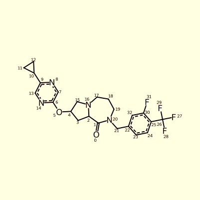 O=C1C2CC(Oc3cnc(C4CC4)cn3)CN2CCCN1Cc1ccc(C(F)(F)F)c(F)c1